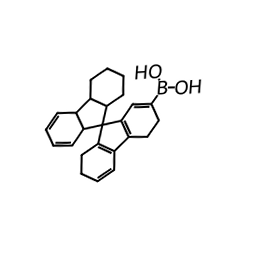 OB(O)C1=CC2=C(CC1)C1=C(CCC=C1)C21C2C=CC=CC2C2CCCCC21